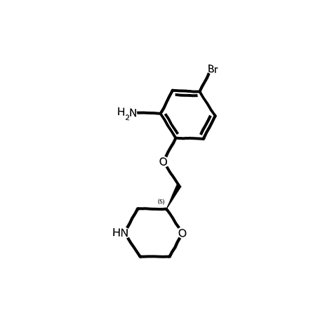 Nc1cc(Br)ccc1OC[C@@H]1CNCCO1